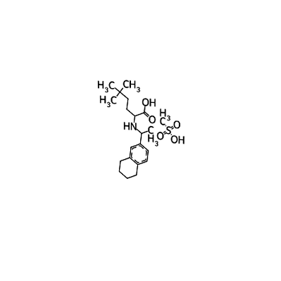 CC(NC(CCC(C)(C)C)C(=O)O)c1ccc2c(c1)CCCC2.CS(=O)(=O)O